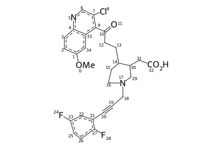 COc1ccc2ncc(Cl)c(C(=O)CCC3CCN(CC#Cc4cc(F)ccc4F)CC3CC(=O)O)c2c1